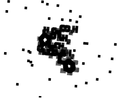 C[C@@H](C(=O)O)N1C(=O)CCC1=O.C[C@H](N)C(=O)O.N[C@@H](Cc1ccccc1)C(=O)O